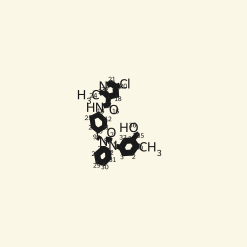 Cc1ccc(-n2c(=O)n(C[C@H]3CC[C@H](NC(=O)c4cc(Cl)cnc4C)CC3)c3ccccc32)cc1CO